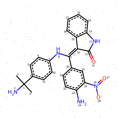 CC(C)(N)c1ccc(N/C(=C2/C(=O)Nc3ccccc32)c2ccc(N)c([N+](=O)[O-])c2)cc1